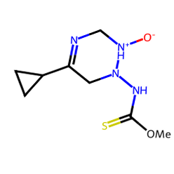 COC(=S)NN1CC(C2CC2)=NC[NH+]1[O-]